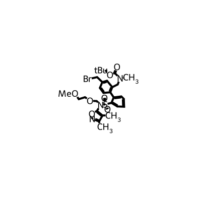 COCCOCN(c1onc(C)c1C)S(=O)(=O)c1ccccc1-c1ccc(CBr)cc1CN(C)C(=O)OC(C)(C)C